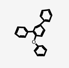 c1ccc(Oc2ccc(-c3ccccc3)cc2-c2ccccc2)cc1